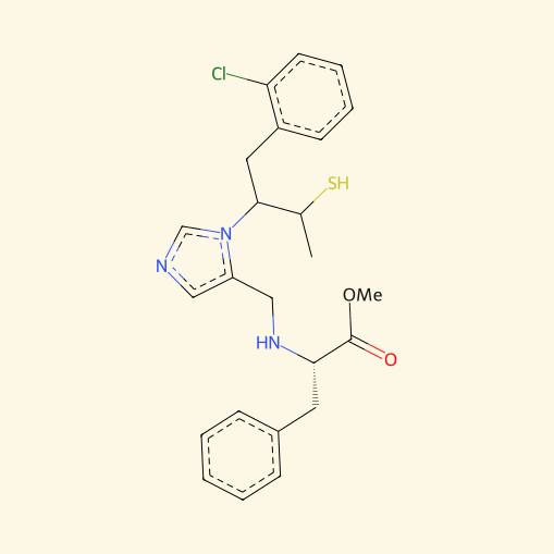 COC(=O)[C@H](Cc1ccccc1)NCc1cncn1C(Cc1ccccc1Cl)C(C)S